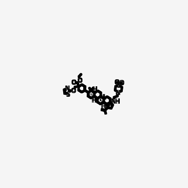 C=C(C)C1CC[C@]2(NCCN3CCS(=O)(=O)CC3)CC[C@]3(C)[C@H](CC[C@@H]4[C@@]5(C)CC=C(C6=CCC(COc7nccs7)(C(=O)OCC)CC6)C(C)(C)[C@@H]5CC[C@]43C)[C@@H]12